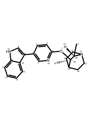 C[C@H]1[C@H](Oc2ccc(-c3c[nH]c4ccccc34)cn2)C2CCN1CC2